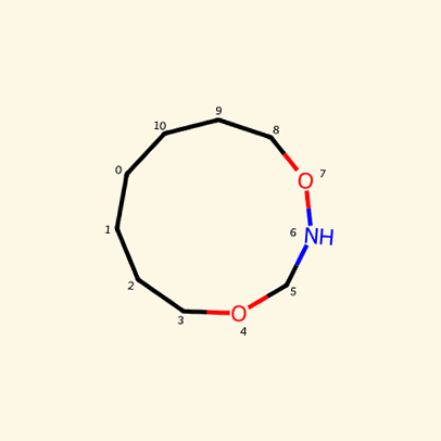 C1CCCOCNOCCC1